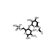 CC1C(O)OC(COS(=O)(=O)O)[C@@H](O[C@@H]2OC(OC=O)=CC(O)[C@@H]2O)[C@@H]1C